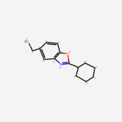 CC(C)Cc1ccc2oc(C3CCCCC3)nc2c1